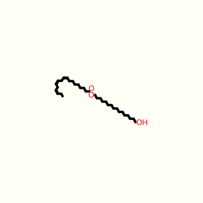 CC/C=C\C/C=C\C/C=C\CCCCCCCC(=O)OCCCCCCCCCCCCCCCCO